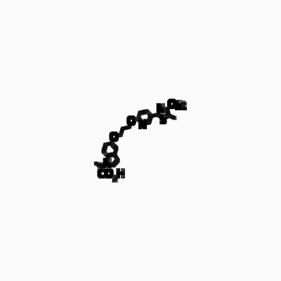 CCOc1nc(-c2ccc(OCCCOc3ccc4c(ccn4[C@H](C)C(=O)O)c3)nc2)sc1C